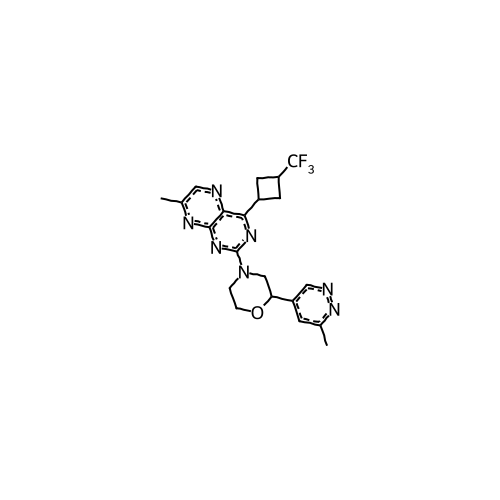 Cc1cc(C2CN(c3nc(C4CC(C(F)(F)F)C4)c4ncc(C)nc4n3)CCO2)cnn1